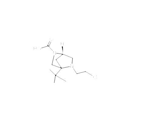 CC(C)(C)C12C[C@@H](CN1CCCl)N(C(=O)O)C2